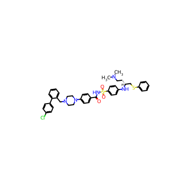 CN(C)CC[C@H](CSc1ccccc1)Nc1ccc(S(=O)(=O)NC(=O)c2ccc(N3CCN(Cc4ccccc4-c4ccc(Cl)cc4)CC3)cc2)cc1